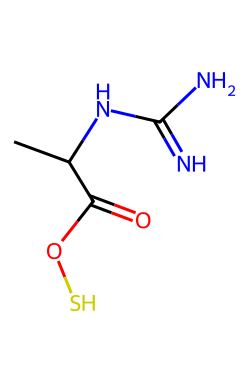 CC(NC(=N)N)C(=O)OS